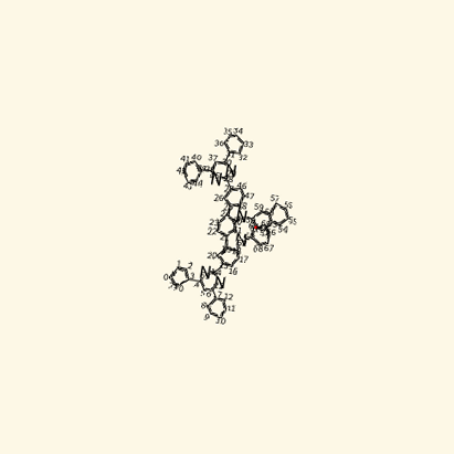 c1ccc(-c2cc(-c3ccccc3)nc(-c3ccc4c(c3)c3ccc5c6cc(-c7nc(-c8ccccc8)cc(-c8ccccc8)n7)ccc6n(-c6ccc7ccccc7c6)c5c3n4-c3ccccc3)n2)cc1